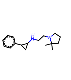 CC1(C)CCCN1CCNC1CC1c1ccccc1